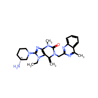 C=C1c2c(nc(N3CCC[C@@H](N)C3)n2CC)N(C)C(=O)N1Cc1nc(C)c2ccccc2n1